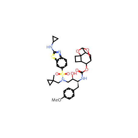 COc1ccc(C[C@H](NC(=O)OC2C3CC4C(O3)OC43CCC23)[C@H](O)CN(CC2(C)CC2)S(=O)(=O)c2ccc3nc(NC4CC4)sc3c2)cc1